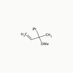 C=CC(C)(OC)C(C)C